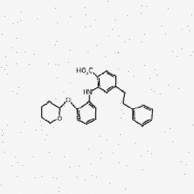 O=C(O)c1ccc(CCc2ccccc2)cc1Nc1ccccc1OC1CCCCO1